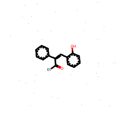 CCC(=O)C(=Cc1ccccc1O)c1ccccc1